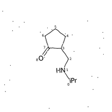 CC(C)NCC1CCCC1=O